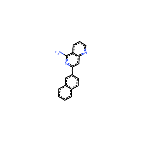 Nc1nc(-c2ccc3ccccc3c2)cc2ncccc12